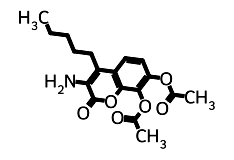 CCCCCc1c(N)c(=O)oc2c(OC(C)=O)c(OC(C)=O)ccc12